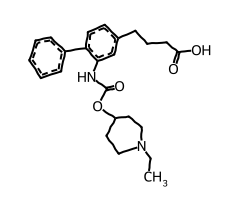 CCN1CCC(OC(=O)Nc2cc(CCCC(=O)O)ccc2-c2ccccc2)CC1